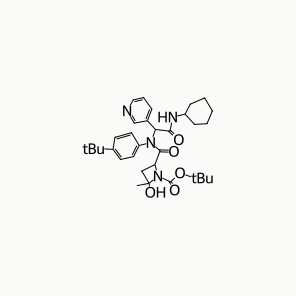 CC(C)(C)OC(=O)N1C(C(=O)N(c2ccc(C(C)(C)C)cc2)C(C(=O)NC2CCCCC2)c2cccnc2)CC1(C)O